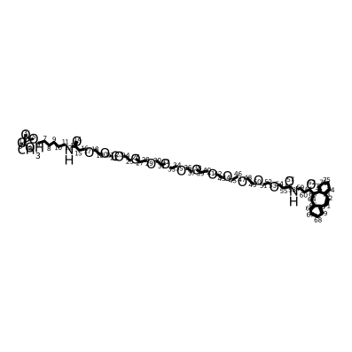 COP(=O)(O)OCCCCCCNC(=O)CCOCCOCCOCCOCCOCCOCCOCCOCCOCCOCCOCCOCCOCCC(=O)NCCC(=O)C1Cc2ccccc2C#Cc2ccccc21